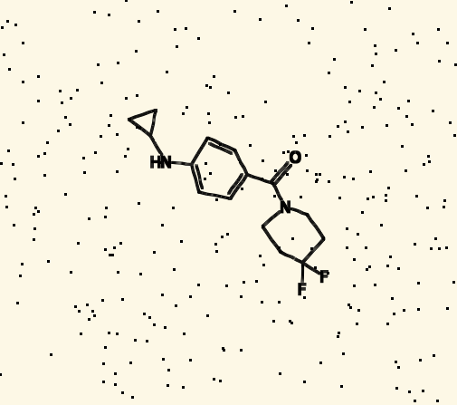 O=C(c1ccc(NC2CC2)cc1)N1CCC(F)(F)CC1